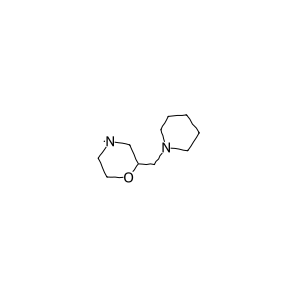 C1CCN(CC2C[N]CCO2)CC1